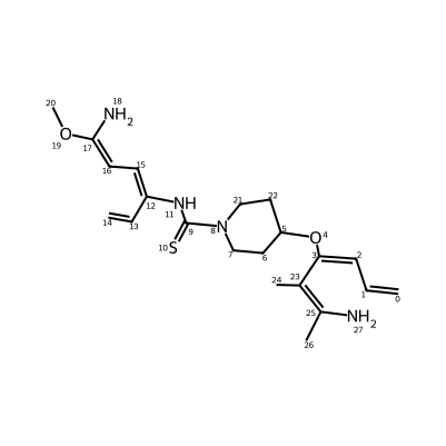 C=C/C=C(OC1CCN(C(=S)N/C(C=C)=C/C=C(\N)OC)CC1)\C(C)=C(\C)N